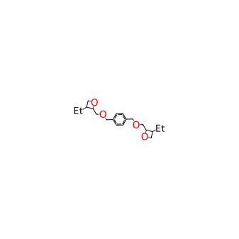 CCC1COC1COCc1ccc(COCC2OCC2CC)cc1